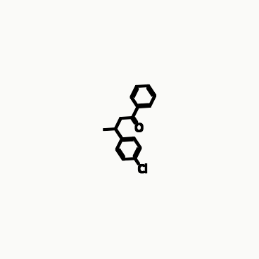 CC(CC(=O)c1ccccc1)c1ccc(Cl)cc1